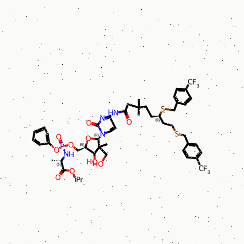 CC(C)OC(=O)[C@H](C)NP(=O)(OC[C@H]1O[C@@H](n2ccc(NC(=O)CC(C)(C)CC[C@H](CCSCc3ccc(C(F)(F)F)cc3)SCc3ccc(C(F)(F)F)cc3)nc2=O)C(C)(CO)C1O)Oc1ccccc1